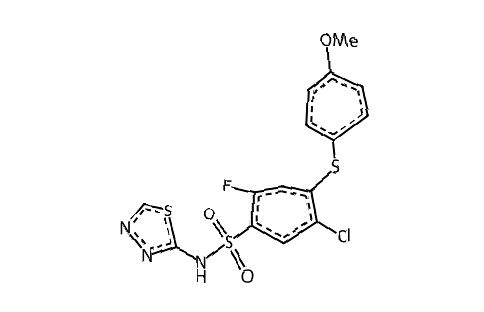 COc1ccc(Sc2cc(F)c(S(=O)(=O)Nc3nncs3)cc2Cl)cc1